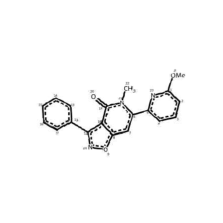 COc1cccc(-c2cc3onc(-c4ccccc4)c3c(=O)n2C)n1